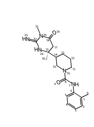 Cc1ccccc1NC(=O)N1CCCC([C@]2(C)CC(=O)N(C)C(=N)N2)C1